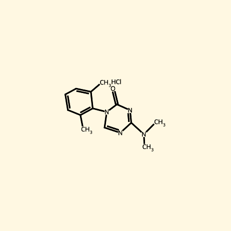 Cc1cccc(C)c1-n1cnc(N(C)C)nc1=O.Cl